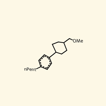 CCCCCc1ccc(C2CCC(COC)CC2)cc1